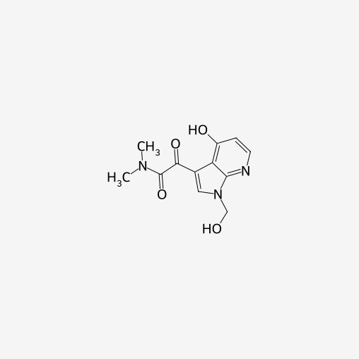 CN(C)C(=O)C(=O)c1cn(CO)c2nccc(O)c12